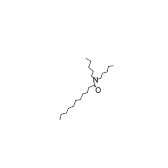 CCCCCCCCCCC(=O)N(CCCCC)CCCCC